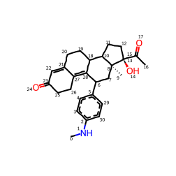 CNc1ccc(C2C[C@@]3(C)C(CC[C@]3(O)C(C)=O)C3CCC4=CC(=O)CCC4=C23)cc1